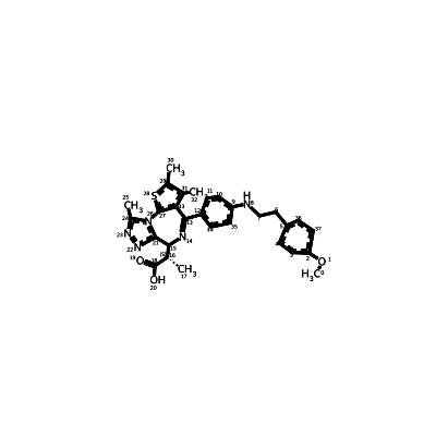 COc1ccc(CCNc2ccc(C3=NC([C@H](C)C(=O)O)c4nnc(C)n4-c4sc(C)c(C)c43)cc2)cc1